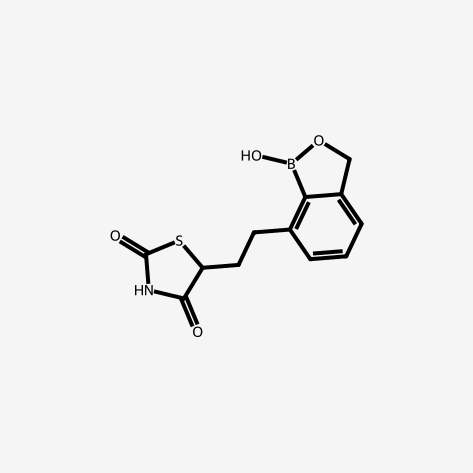 O=C1NC(=O)C(CCc2cccc3c2B(O)OC3)S1